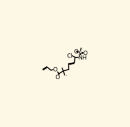 [CH2]C(C)(CC=CC(Cl)NS(C)(=O)=O)C(=O)OCC=C